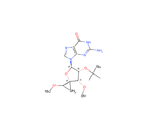 CC(C)(C)OC1[SiH2][C@@]12O[C@@H](n1cnc3c(=O)[nH]c(N)nc31)[C@H](O[Si](C)(C)C(C)(C)C)[C@@H]2OC(C)(C)C